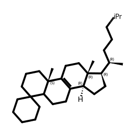 CC(C)CCC[C@@H](C)[C@H]1CC[C@H]2C3=C(CC[C@]12C)[C@@]1(C)CCCC2(CCCCC2)C1CC3